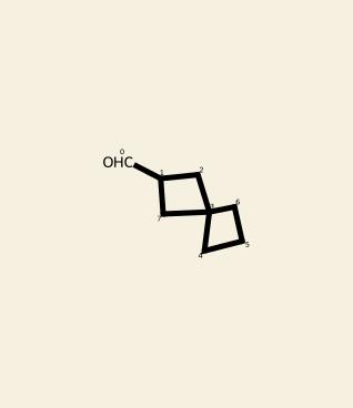 O=CC1CC2(CCC2)C1